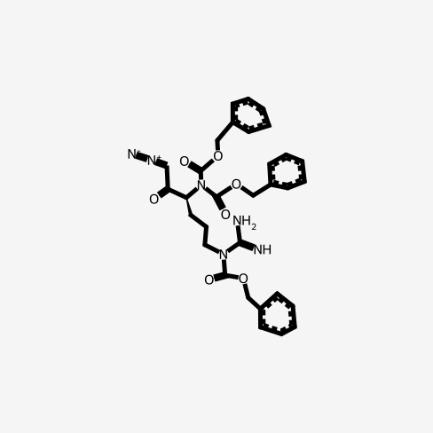 [N-]=[N+]=CC(=O)[C@H](CCCN(C(=N)N)C(=O)OCc1ccccc1)N(C(=O)OCc1ccccc1)C(=O)OCc1ccccc1